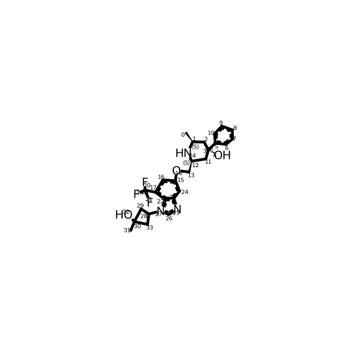 C[C@H]1C[C@@](O)(c2ccccc2)C[C@@H](COc2cc(C(F)(F)F)c3c(c2)ncn3C2CC(C)(O)C2)N1